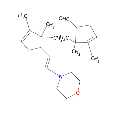 CC1=CCC(C=CN2CCOCC2)C1(C)C.CC1=CCC(C=O)C1(C)C